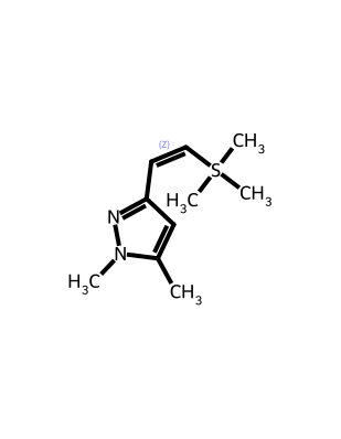 Cc1cc(/C=C\S(C)(C)C)nn1C